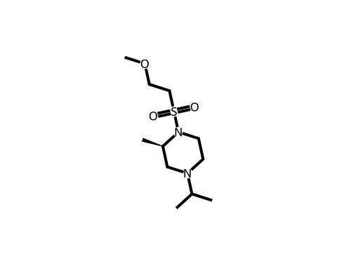 COCCS(=O)(=O)N1CCN(C(C)C)C[C@H]1C